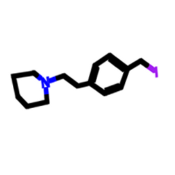 ICc1ccc(CCN2CCCCC2)cc1